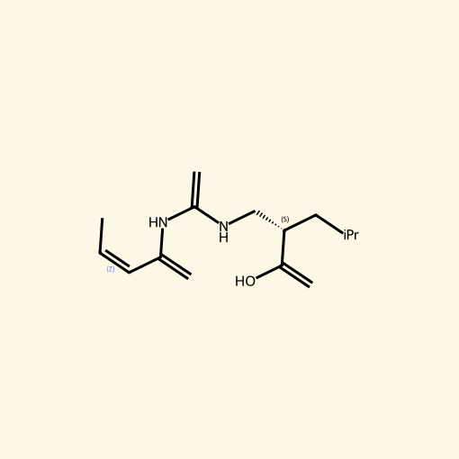 C=C(/C=C\C)NC(=C)NC[C@H](CC(C)C)C(=C)O